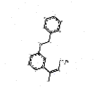 CCOC(=O)/C=C(/C)c1cccc(OCc2ccccc2)c1